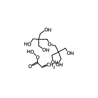 C=CC(=O)OO.OCC(CO)(CO)COCC(CO)(CO)CO